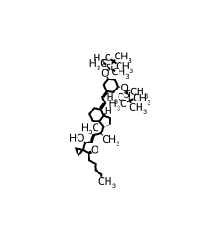 CCCCCC(=O)C1([C@@H](O)/C=C/[C@@H](C)[C@H]2CC[C@H]3/C(=C/C=C4C[C@@H](O[Si](C)(C)C(C)(C)C)C[C@H](O[Si](C)(C)C(C)(C)C)C4)CCC[C@]23C)CC1